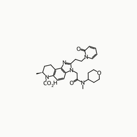 C[C@H]1CCc2c(ccc3c2nc(CCn2ccccc2=O)n3CC(=O)N(C)C2CCOCC2)N1C(=O)O